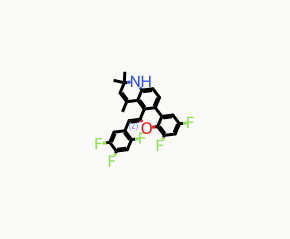 CC1=CC(C)(C)Nc2ccc3c(c21)/C(=C/c1cc(F)c(F)cc1F)Oc1c(F)cc(F)cc1-3